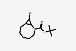 CC(C)(C)OC(=O)N1CCCCCC2C(F)C21